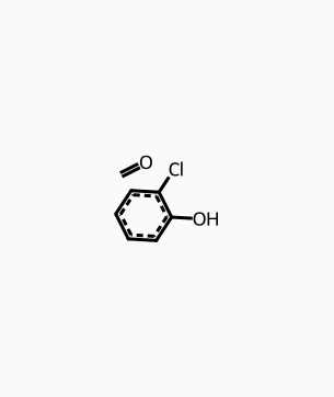 C=O.Oc1ccccc1Cl